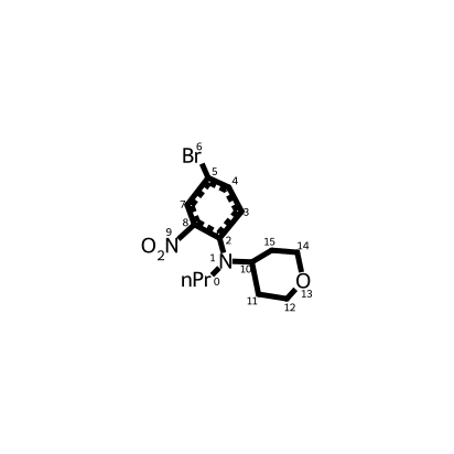 CCCN(c1ccc(Br)cc1[N+](=O)[O-])C1CCOCC1